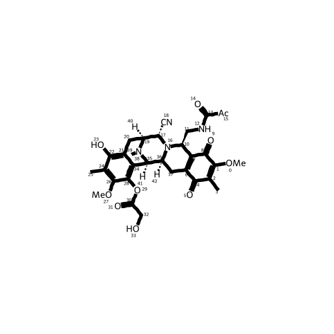 COC1=C(C)C(=O)C2=C(C1=O)[C@H](CNC(=O)C(C)=O)N1[C@@H](C#N)[C@@H]3Cc4c(O)c(C)c(OC)c(OC(=O)CO)c4[C@H]([C@@H]1C2)N3C